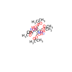 C=C(C)C(=O)OCC(O)CC(N)(CC(O)COC(=O)C(=C)C)C(N)(CC(O)COC(=O)C(=C)C)CC(O)COC(=O)C(=C)C